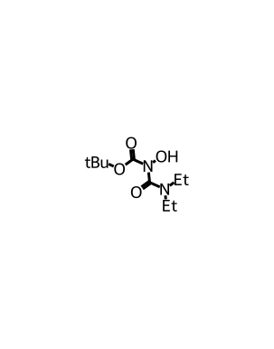 CCN(CC)C(=O)N(O)C(=O)OC(C)(C)C